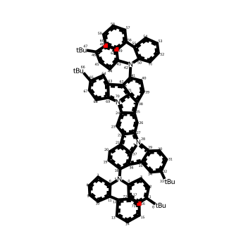 CC(C)(C)c1ccc(N(c2ccccc2-c2ccccc2)c2ccc3c4cc5c(cc4n4c6ccc(C(C)(C)C)cc6c2c34)c2ccc(N(c3ccc(C(C)(C)C)cc3)c3ccccc3-c3ccccc3)c3c4cc(C(C)(C)C)ccc4n5c23)cc1